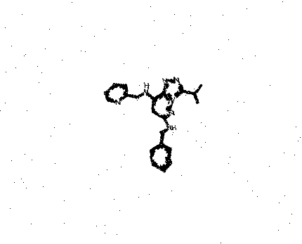 CC(C)c1nnc2c(NCc3ccccn3)cc(NCc3ccccc3)nn12